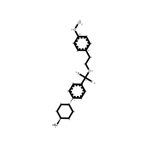 CCCC[C@H]1CC[C@H](c2ccc(C(F)(F)OCCc3ccc(OC(F)(F)F)cc3)cc2)CC1